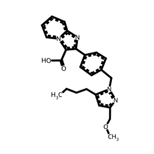 CCCCc1cc(COC)nn1Cc1ccc(-c2nc3ccccn3c2C(=O)O)cc1